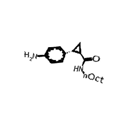 CCCCCCCCNC(=O)[C@@H]1C[C@H]1c1ccc(N)cc1